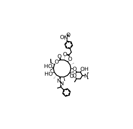 CC[C@H]1OC(=O)[C@H](C)[C@@H](OC(=O)Cc2ccc([N+](=O)[O-])cc2)[C@H](C)[C@@H](OC2OC(C)CC(N(C)C)C2O)[C@](C)(OC)C[C@@H](C)/C(=N\N=C(/C)c2ccccc2)[C@H](C)[C@@H](O)[C@]1(C)O